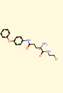 N[C@H](CCC(=O)Nc1ccc(Oc2ccccc2)cc1)C(=O)NCCCl